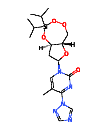 Cc1cn([C@H]2C[C@H]3O[Si](C(C)C)(C(C)C)OOC[C@@H]3O2)c(=O)nc1-n1cncn1